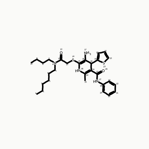 CCCCCCN(CCCC)C(=O)CSC1=C(N)C(c2cccs2)C(C(=O)Nc2ccccc2)=C(C)N1